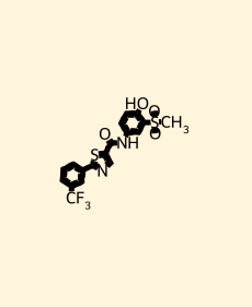 CS(=O)(=O)c1cc(NC(=O)c2cnc(-c3cccc(C(F)(F)F)c3)s2)ccc1O